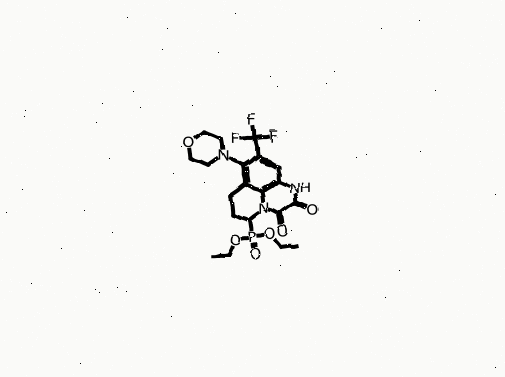 CCOP(=O)(OCC)C1CCc2c(N3CCOCC3)c(C(F)(F)F)cc3[nH]c(=O)c(=O)n1c23